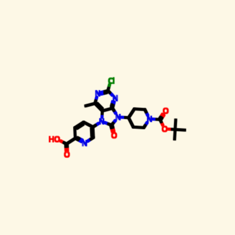 Cc1nc(Cl)nc2c1n(-c1ccc(C(=O)O)nc1)c(=O)n2C1CCN(C(=O)OC(C)(C)C)CC1